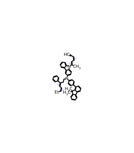 C#C/C=C\C=C(/C)n1c2ccccc2c2cc(N(CC/C(=C\C=C/CC)c3ccccc3)c3ccc(-c4cccc5c4C(C)(C)c4ccccc4-5)cc3)ccc21